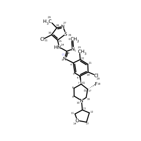 C=N/C(=N\c1cc([C@@H]2CCN(C3CCOC3)C[C@H]2F)c(Cl)cc1C)Nc1snc(C)c1Cl